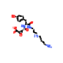 NCCCCNCCCNC(=O)C(Cc1ccc(O)cc1)NC(=O)C1OC1C(=O)O